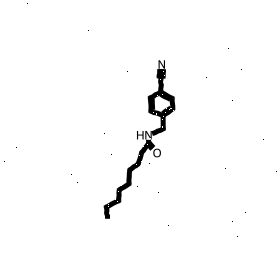 CCCCCCCCC(=O)NCc1ccc(C#N)cc1